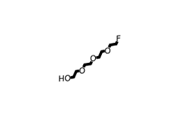 OCCOCCOCCOCCF